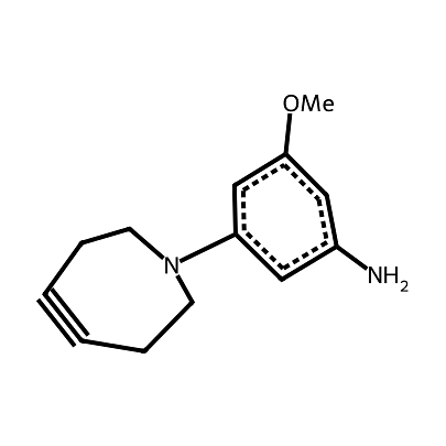 COc1cc(N)cc(N2CCC#CCC2)c1